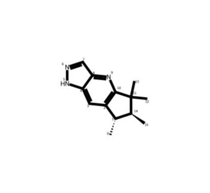 C[C@@H]1c2cc3[nH]ncc3nc2C(C)(C)[C@H]1C